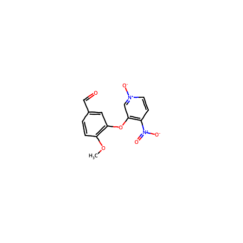 COc1ccc(C=O)cc1Oc1c[n+]([O-])ccc1[N+](=O)[O-]